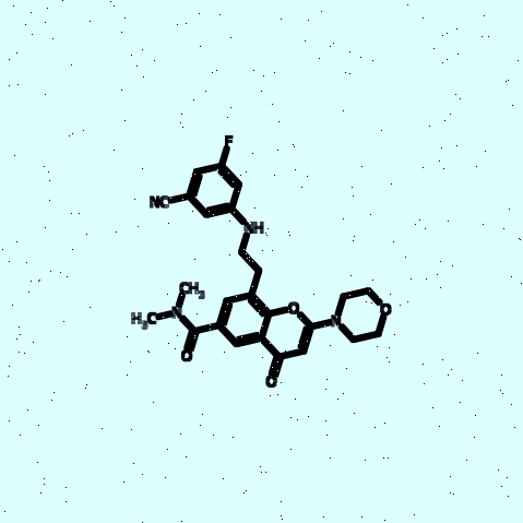 CN(C)C(=O)c1cc(CCNc2cc(F)cc(C#N)c2)c2oc(N3CCOCC3)cc(=O)c2c1